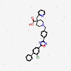 O=C(O)C1(Cc2ccccn2)CCN(Cc2ccc(-c3noc(-c4ccc(-c5ccccc5)c(Cl)c4)n3)cc2)CC1